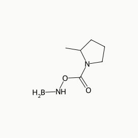 BNOC(=O)N1CCCC1C